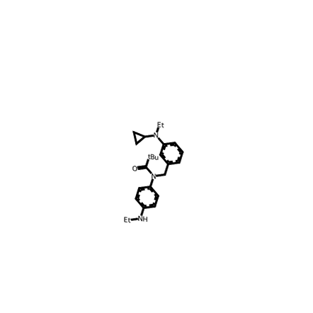 CCNc1ccc(N(Cc2cccc(N(CC)C3CC3)c2)C(=O)C(C)(C)C)cc1